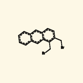 BrCc1ccc2cc3ccccc3cc2c1CBr